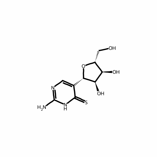 Nc1ncc([C@@H]2O[C@H](CO)[C@@H](O)[C@H]2O)c(=S)[nH]1